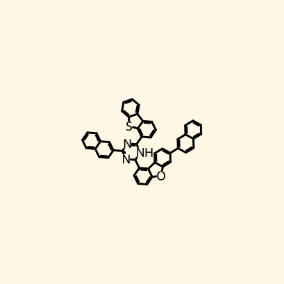 c1ccc2cc(C3=NC(c4cccc5oc6cc(-c7ccc8ccccc8c7)ccc6c45)NC(c4cccc5c4sc4ccccc45)=N3)ccc2c1